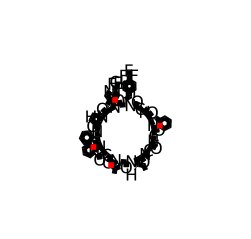 CC[C@H](C)[C@@H]1NC(=O)[C@H](CC(C)C)N(C)C(=O)C[C@@H](C(=O)N2CCCCC2)N(C)C(=O)[C@H](C2CCCCC2)N(C)C(=O)C2(CCCC2)NC(=O)[C@H](Cc2ccc(C(F)(F)F)nc2)N(C)C(=O)[C@H](CCc2ccc(C(F)(F)F)c(Cl)c2)NC(=O)CN(C)C(=O)[C@H](CC2CCCCC2)N(C)C(=O)CN(C)C(=O)CN(C)C1=O